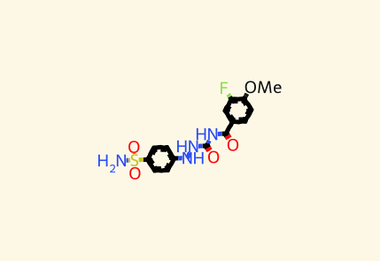 COc1ccc(C(=O)NC(=O)NNc2ccc(S(N)(=O)=O)cc2)cc1F